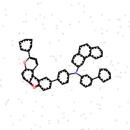 C1=Cc2c(ccc3oc4ccc(-c5ccc(N(c6cccc(-c7ccccc7)c6)c6ccc7ccc8ccccc8c7c6)cc5)cc4c23)OC=1c1ccccc1